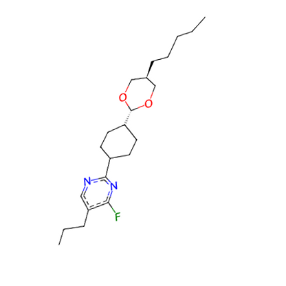 CCCCC[C@H]1CO[C@H](C2CCC(c3ncc(CCC)c(F)n3)CC2)OC1